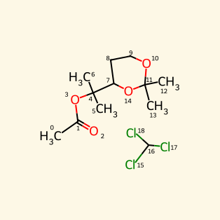 CC(=O)OC(C)(C)C1CCOC(C)(C)O1.ClC(Cl)Cl